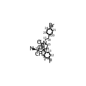 CC(C)(C#N)C[C@]1(c2ccc(F)cc2)CCN(CCc2ccc(Br)cc2)C(=O)O1